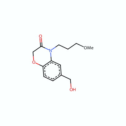 COCCCN1C(=O)COc2ccc(CO)cc21